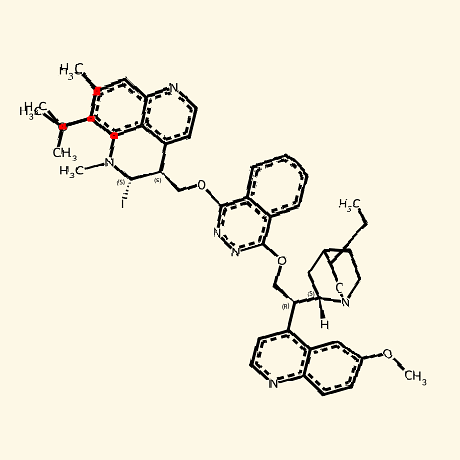 CCC(CN(C)[C@@H](I)[C@H](COc1nnc(OC[C@H](c2ccnc3ccc(OC)cc23)[C@@H]2CC3CCN2CC3CC)c2ccccc12)c1ccnc2ccc(OC)cc12)C(C)C